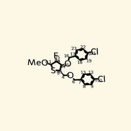 COC1S[C@H](COCc2ccc(Cl)cc2)[C@@H](OCc2ccc(Cl)cc2)[C@H]1F